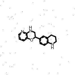 c1cnc2c(c1)OC(c1ccc3c(c1)CCCN3)CN2